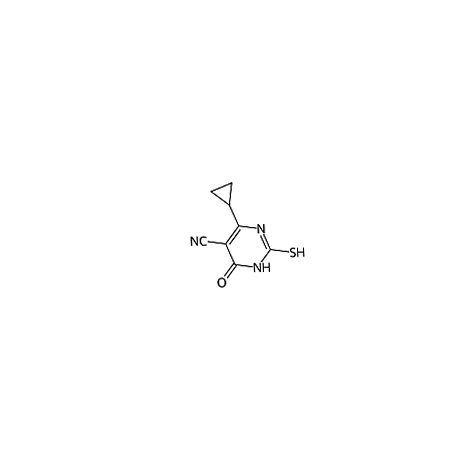 N#Cc1c(C2CC2)nc(S)[nH]c1=O